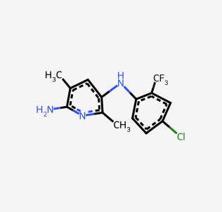 Cc1cc(Nc2ccc(Cl)cc2C(F)(F)F)c(C)nc1N